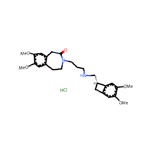 COc1cc2c(cc1OC)CC(=O)N(CCCNC[C@H]1Cc3cc(OC)c(OC)cc31)CC2.Cl